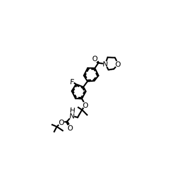 CC(C)(C)OC(=O)NCC(C)(C)Oc1ccc(F)c(-c2ccc(C(=O)N3CCOCC3)cc2)c1